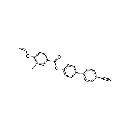 C=COc1ccc(C(=O)Oc2ccc(-c3ccc(C#N)cc3)cc2)cc1C